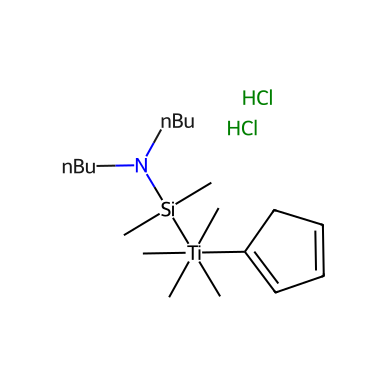 CCCCN(CCCC)[Si](C)(C)[Ti]([CH3])([CH3])([CH3])([CH3])[C]1=CC=CC1.Cl.Cl